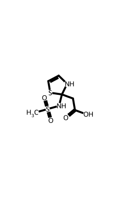 CS(=O)(=O)NC1(CC(=O)O)NC=CS1